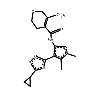 Cc1sc(NC(=O)C2=C(C(=O)O)COCC2)c(-c2nc(C3CC3)no2)c1C